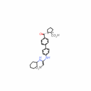 O=C(O)[C@@H]1CCC[C@H]1C(=O)c1ccc(-c2ccc(NC(=C[N+](=O)[O-])NC3CCCCC3)cc2)cc1